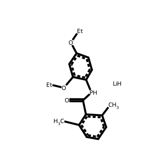 CCOc1ccc(PC(=O)c2c(C)cccc2C)c(OCC)c1.[LiH]